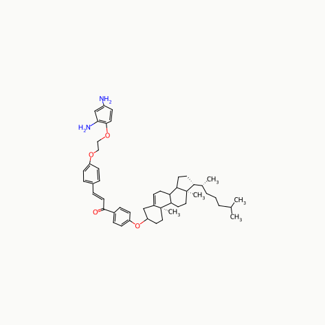 CC(C)CCC[C@@H](C)[C@H]1CCC2C3CC=C4CC(Oc5ccc(C(=O)C=Cc6ccc(OCCOc7ccc(N)cc7N)cc6)cc5)CC[C@]4(C)C3CC[C@@]21C